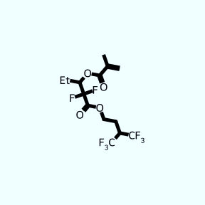 C=C(C)C(=O)OC(CC)C(F)(F)C(=O)OCCC(C(F)(F)F)C(F)(F)F